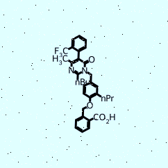 CCCCc1nc(C)c(-c2ccccc2C(F)(F)F)c(=O)n1Cc1ccc(OCc2ccccc2C(=O)O)c(CCC)c1